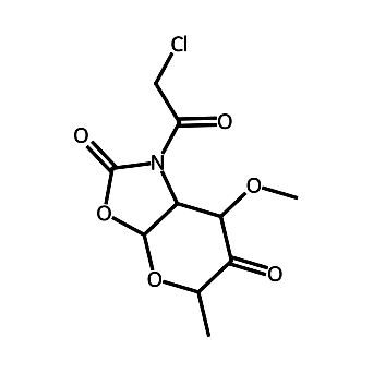 COC1C(=O)C(C)OC2OC(=O)N(C(=O)CCl)C21